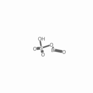 [O]=[Bi][O]S(=O)(=O)O